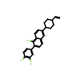 C=CC1CCC(c2ccc3c(F)c(-c4ccc(F)c(F)c4)ccc3c2)CC1